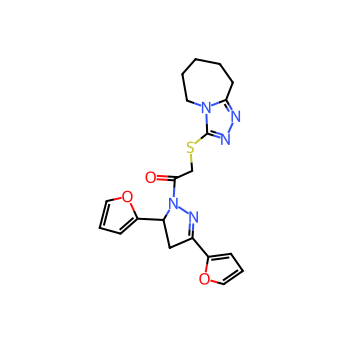 O=C(CSc1nnc2n1CCCCC2)N1N=C(c2ccco2)CC1c1ccco1